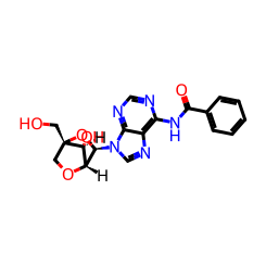 O=C(Nc1ncnc2c1ncn2[C@@H]1O[C@@]2(CO)CO[C@@H]1[C@@H]2O)c1ccccc1